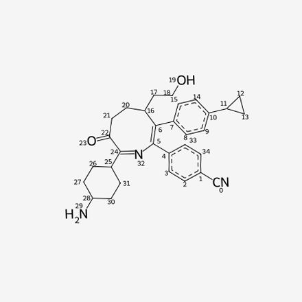 N#Cc1ccc(C2=C(\c3ccc(C4CC4)cc3)C(CCO)CCC(=O)/C(C3CCC(N)CC3)=N\2)cc1